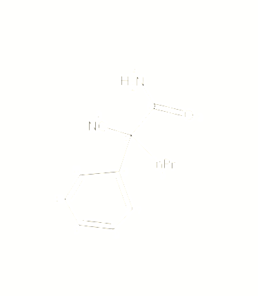 CCCC(C#N)(C(N)=O)c1ccccc1